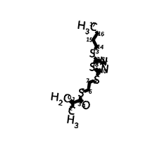 C=C(C)C(=O)SCCSc1nnc(SCCCC)s1